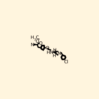 CCOC(=O)C(C#N)Cc1ccc(OCCN[C@H]2[C@@H]3CN(Cc4ccc(Cl)cc4)C[C@@H]32)cc1